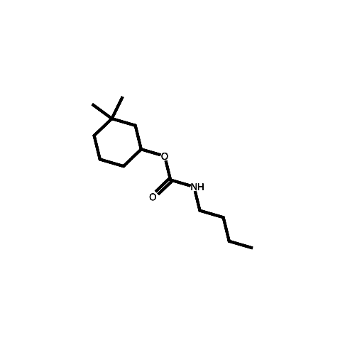 CCCCNC(=O)OC1CCCC(C)(C)C1